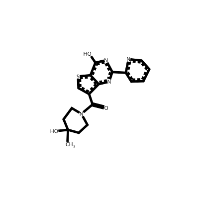 CC1(O)CCN(C(=O)c2csc3c(O)nc(-c4ccccn4)nc23)CC1